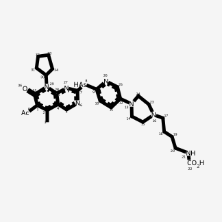 CC(=O)c1c(C)c2cnc([AsH]c3ccc(N4CCN(CCCCNC(=O)O)CC4)cn3)nc2n(C2CCCC2)c1=O